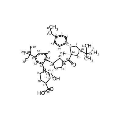 COc1ccc([C@@H]2CN(C(C)(C)C)C[C@@]2(F)C(=O)N2C[C@H](CO)[C@@H](c3ccc(C(F)(F)F)cc3N3CCC(C(=O)O)CC3)C2)cc1